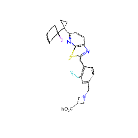 O=C(O)C1CN(Cc2ccc(-c3nc4ccc(C5(C6(I)CCC6)CC5)nc4s3)c(F)c2)C1